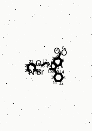 COC(=O)c1ccc2c(C3CCCCC3)cn(CCOc3cccnc3Br)c2c1